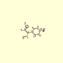 C=C/C(=C(\C)OC)c1ccc(F)cc1